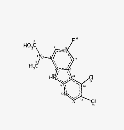 CN(C(=O)O)c1cc(F)cc2c1[nH]c1ncc(Cl)c(Cl)c12